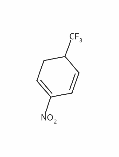 O=[N+]([O-])C1=CCC(C(F)(F)F)C=C1